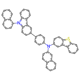 c1ccc2cc(N(c3ccc(-c4ccc5c(c4)c4ccccc4n5-c4cccc5ccccc45)cc3)c3ccc4sc5ccccc5c4c3)ccc2c1